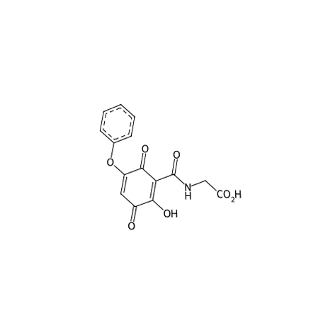 O=C(O)CNC(=O)C1=C(O)C(=O)C=C(Oc2ccccc2)C1=O